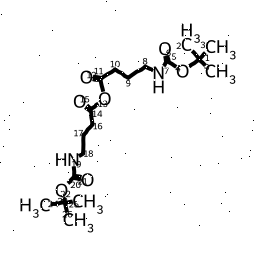 CC(C)(C)OC(=O)NCCCC(=O)OC(=O)CCCNC(=O)OC(C)(C)C